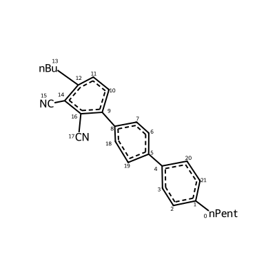 CCCCCc1ccc(-c2ccc(-c3ccc(CCCC)c(C#N)c3C#N)cc2)cc1